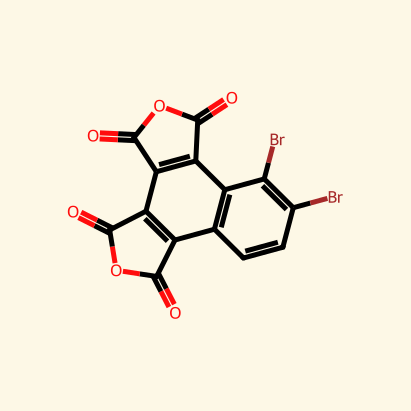 O=c1oc(=O)c2c1c1ccc(Br)c(Br)c1c1c(=O)oc(=O)c12